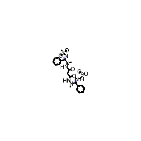 CN(NC(=O)CC(=O)NN(C)/C(=N/S(C)(=O)=O)c1ccccc1)/C(=N/C[SH](=O)=O)c1ccccc1